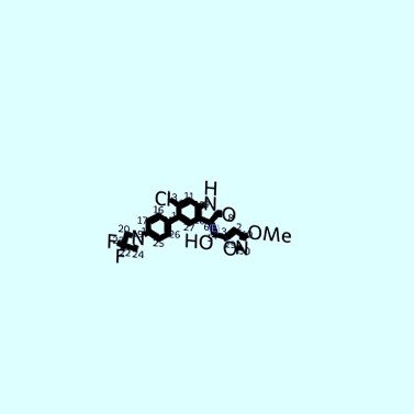 COc1cc(/C(O)=C2\C(=O)Nc3cc(Cl)c(-c4ccc(N5CC(F)(F)C5)cc4)cc32)on1